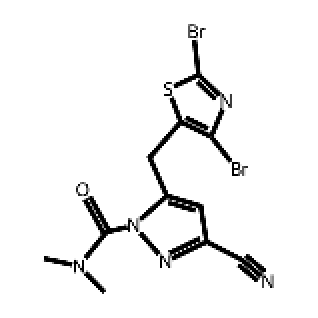 CN(C)C(=O)n1nc(C#N)cc1Cc1sc(Br)nc1Br